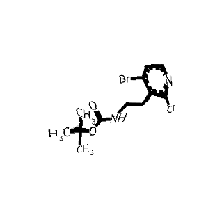 CC(C)(C)OC(=O)NCCc1c(Br)ccnc1Cl